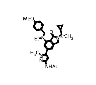 CCN(Cc1ccc(OC)cc1)c1cc(-c2cc(NC(C)=O)nn2C)cc2c1C(=O)N([C@@H](C)C1CC1)C2